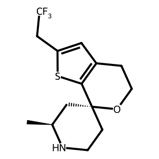 C[C@H]1C[C@@]2(CCN1)OCCc1cc(CC(F)(F)F)sc12